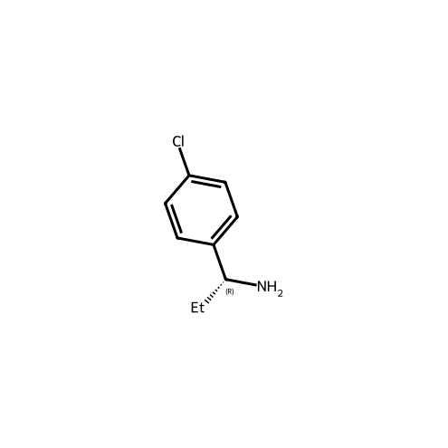 CC[C@@H](N)c1ccc(Cl)cc1